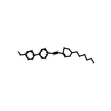 CCCCCCC1CC=C(C#Cc2ccc(-c3ccc(CC)cc3)cc2)CC1